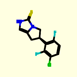 Fc1ccc(Cl)c(F)c1[C@H]1Cc2c[nH]c(=S)n2C1